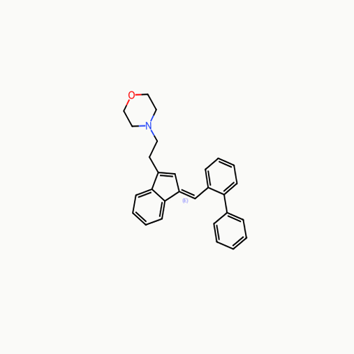 C1=C(CCN2CCOCC2)c2ccccc2/C1=C/c1ccccc1-c1ccccc1